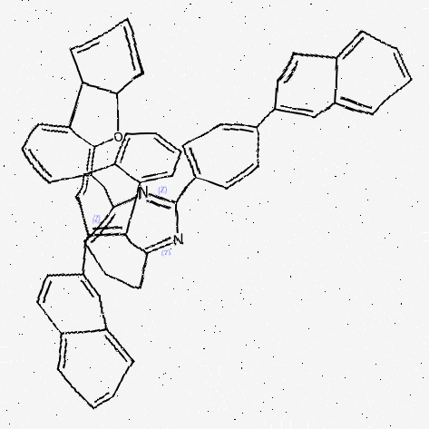 C1=CC2Oc3c(C4=C/CC/C(c5c(-c6ccc7ccccc7c6)ccc6ccccc56)=N/C(c5ccc(-c6ccc7ccccc7c6)cc5)=N\4)cccc3C2C=C1